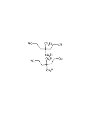 CCOC(=O)C(CCC#N)(CCC#N)C(=O)OCC.N#CCCC(CCC#N)(C(=O)O)C(=O)O